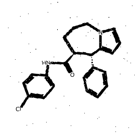 O=C(Nc1ccc(Cl)cc1)[C@H]1CCCn2cccc2[C@@H]1c1ccccc1